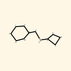 C1CCC(CSC2CCC2)CC1